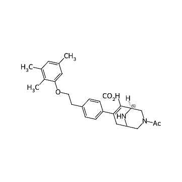 CC(=O)N1CC2CC(c3ccc(CCOc4cc(C)cc(C)c4C)cc3)=C(C(=O)O)[C@@H](C1)N2